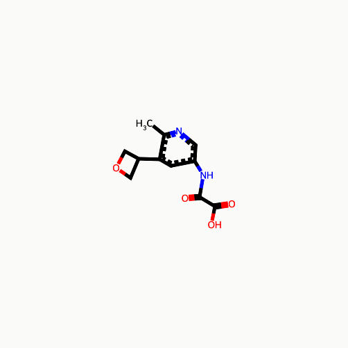 Cc1ncc(NC(=O)C(=O)O)cc1C1COC1